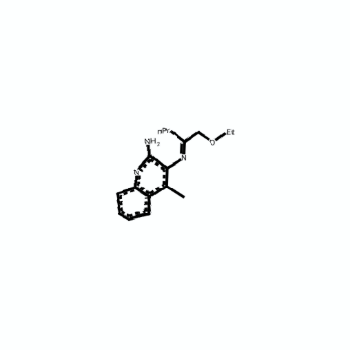 CCC/C(COCC)=N\c1c(N)nc2ccccc2c1C